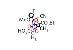 CCOC(=O)c1sc2c(c1C)c(=O)n(C(C)C(=O)O)c(=O)n2C[C@H](OCCC#N)c1cc(F)ccc1OC